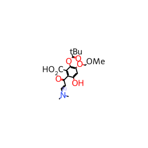 COCOc1cc(O)c(C(=O)/C=C/N(C)C)c(C(=O)O)c1OC(=O)C(C)(C)C